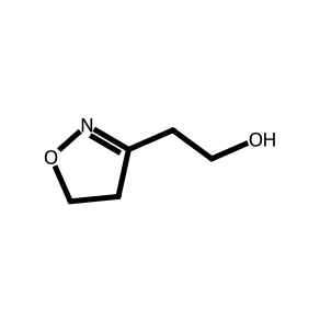 OCCC1=NOCC1